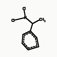 CC(c1ccccc1)N(Cl)Cl